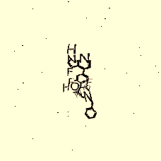 C[C@@H]1CN(Cc2ccccc2)C[C@H](C)C1(O)c1c(F)cc(-c2ccnc3[nH]cc(F)c23)cc1F